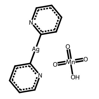 [O]=[Mn](=[O])(=[O])[OH].c1cc[c]([Ag][c]2ccccn2)nc1